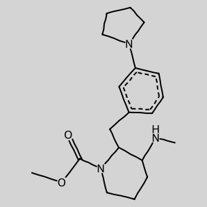 CNC1CCCN(C(=O)OC)C1Cc1cccc(N2CCCC2)c1